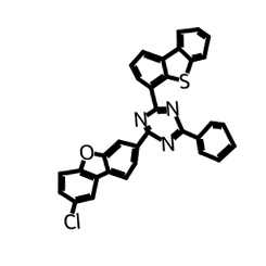 Clc1ccc2oc3cc(-c4nc(-c5ccccc5)nc(-c5cccc6c5sc5ccccc56)n4)ccc3c2c1